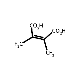 O=C(O)/C(=C(\C(=O)O)C(F)(F)F)C(F)(F)F